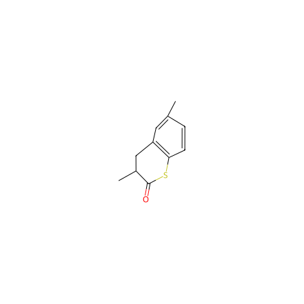 Cc1ccc2c(c1)CC(C)C(=O)S2